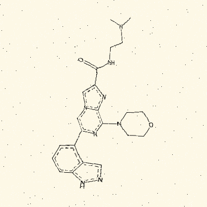 CN(C)CCNC(=O)c1cn2cc(-c3cccc4[nH]ncc34)nc(N3CCOCC3)c2n1